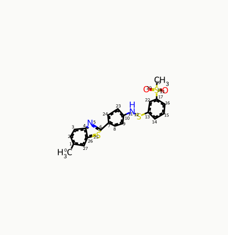 Cc1ccc2nc(-c3ccc(NSc4cccc(S(C)(=O)=O)c4)cc3)sc2c1